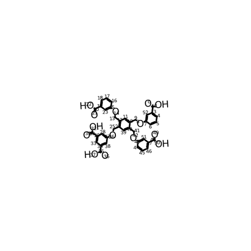 O=C(O)c1cccc(OCc2cc(COc3cccc(C(=O)O)c3)c(COc3cc(C(=O)O)cc(C(=O)O)c3)cc2COc2cccc(C(=O)O)c2)c1